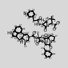 CC1(C)S[C@@H]2[C@H](NC(=O)Cc3ccccc3)C(=O)N2[C@H]1C(=O)[O-].CN1C[C@H](C(=O)N[C@]2(C)O[C@@]3(O)[C@@H]4CCCN4C(=O)[C@H](Cc4ccccc4)N3C2=O)C=C2c3cccc4[nH]cc(c34)C[C@H]21.[Na+]